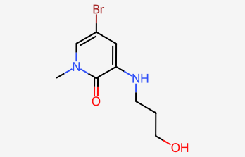 Cn1cc(Br)cc(NCCCO)c1=O